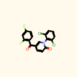 O=C(c1ccc(=O)n(-c2c(Cl)cccc2Cl)c1)c1ccc(F)cc1F